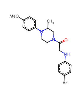 COc1ccc(N2CCN(C(=O)CNc3ccc(C(C)=O)cc3)CC2C)cc1